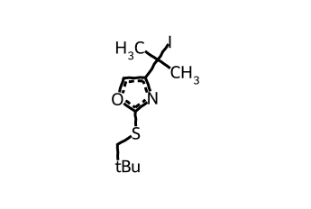 CC(C)(C)CSc1nc(C(C)(C)I)co1